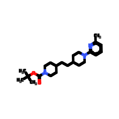 Cc1cccc(N2CCC(CCC3CCN(C(=O)OC(C)(C)C)CC3)CC2)n1